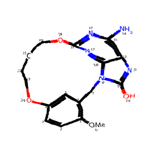 COc1ccc2cc1Cn1c(O)nc3c(N)nc(nc31)OCCCCO2